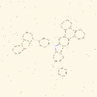 CC1(C)c2ccccc2-c2cc3c4cc5c6ccccc6c6ccccc6c5cc4n(-c4ccc(-c5cccc6c5oc5ccccc56)cc4)c3cc21